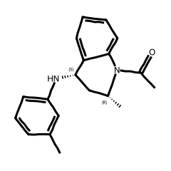 CC(=O)N1c2ccccc2[C@@H](Nc2cccc(C)c2)C[C@H]1C